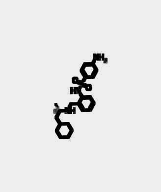 C[C@@H](CC1CCCCC1)NCc1ccccc1NS(=O)(=O)c1ccc(N)cc1